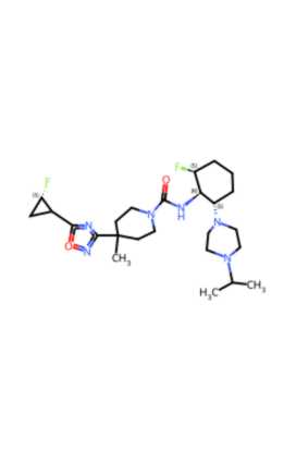 CC(C)N1CCN([C@H]2CCC[C@H](F)[C@@H]2NC(=O)N2CCC(C)(c3noc(C4C[C@@H]4F)n3)CC2)CC1